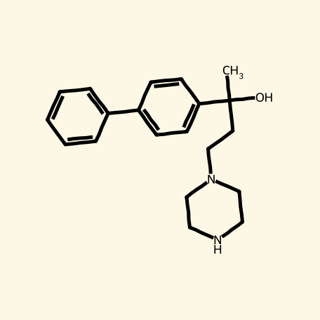 CC(O)(CCN1CCNCC1)c1ccc(-c2ccccc2)cc1